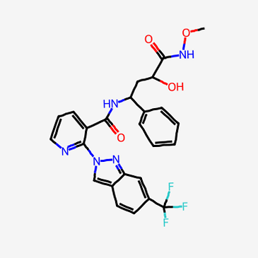 CONC(=O)C(O)CC(NC(=O)c1cccnc1-n1cc2ccc(C(F)(F)F)cc2n1)c1ccccc1